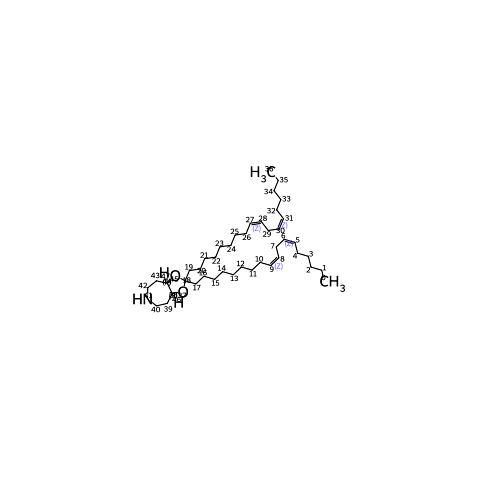 CCCCC/C=C\C/C=C\CCCCCCCCC1(CCCCCCCC/C=C\C/C=C\CCCCC)O[C@H]2CCNCC[C@H]2O1